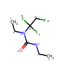 CC[N]C(=O)N(CC)C(F)(F)CF